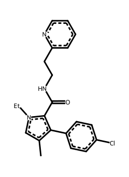 CCn1cc(C)c(-c2ccc(Cl)cc2)c1C(=O)NCCc1ccccn1